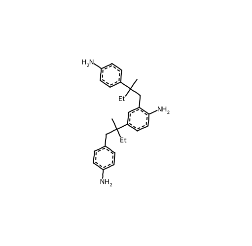 CCC(C)(Cc1ccc(N)cc1)c1ccc(N)c(CC(C)(CC)c2ccc(N)cc2)c1